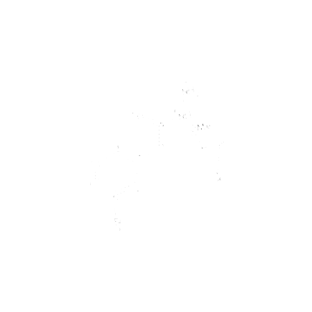 COC1(CC(C(=O)NN)c2cccc(Br)c2)CC1